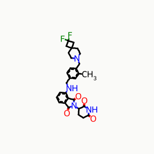 Cc1cc(CNc2cccc3c2C(=O)N(C2CCC(=O)NC2=O)C3=O)ccc1CN1CCC2(CC1)CC(F)(F)C2